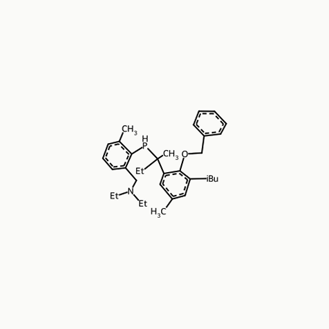 CCC(C)c1cc(C)cc(C(C)(CC)Pc2c(C)cccc2CN(CC)CC)c1OCc1ccccc1